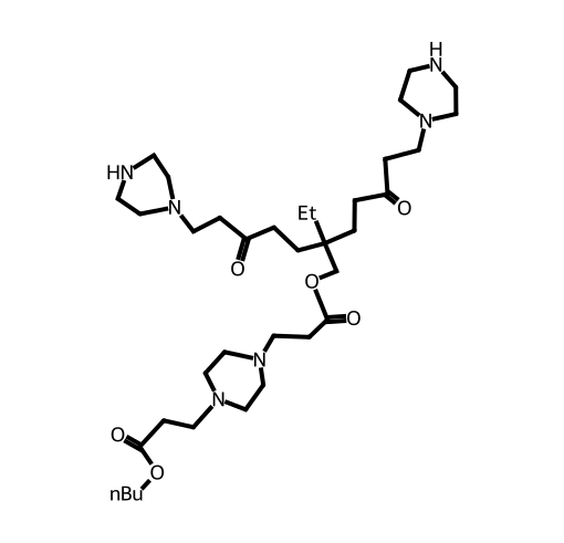 CCCCOC(=O)CCN1CCN(CCC(=O)OCC(CC)(CCC(=O)CCN2CCNCC2)CCC(=O)CCN2CCNCC2)CC1